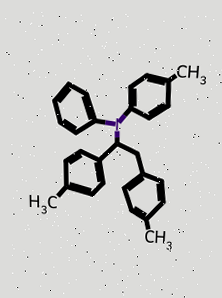 Cc1ccc(CC(c2ccc(C)cc2)I(c2ccccc2)c2ccc(C)cc2)cc1